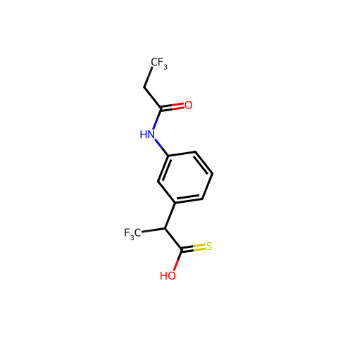 O=C(CC(F)(F)F)Nc1cccc(C(C(O)=S)C(F)(F)F)c1